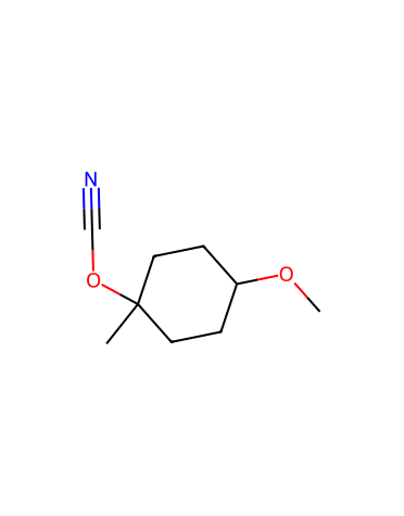 COC1CCC(C)(OC#N)CC1